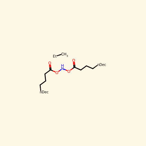 CCC.CCCCCCCCCCCCCC(=O)ONOC(=O)CCCCCCCCCCCCC